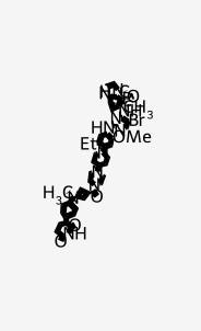 CCc1cc(Nc2ncc(Br)c(Nc3ccc4nccnc4c3P(C)(C)=O)n2)c(OC)cc1N1CCC(N2CCN(C(=O)[C@H]3C[C@H](N(C)c4ccc(C5CCC(=O)NC5=O)cc4)C3)CC2)CC1